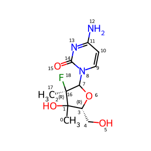 CC1(O)[C@@H](CO)OC(n2ccc(N)nc2=O)[C@]1(C)F